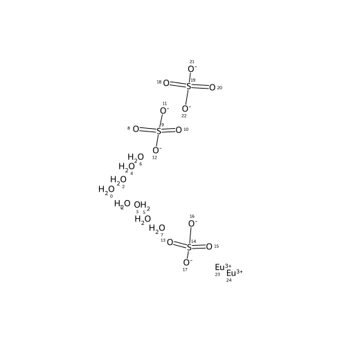 O.O.O.O.O.O.O.O.O=S(=O)([O-])[O-].O=S(=O)([O-])[O-].O=S(=O)([O-])[O-].[Eu+3].[Eu+3]